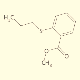 CCCSc1ccccc1C(=O)OC